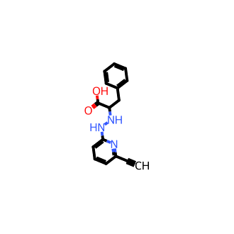 C#Cc1cccc(NNC(Cc2ccccc2)C(=O)O)n1